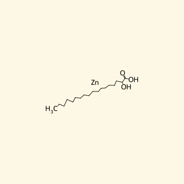 CCCCCCCCCCCCCCCCC(O)C(=O)O.[Zn]